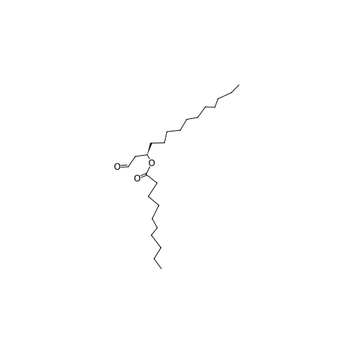 CCCCCCCCCCC[C@H](CC=O)OC(=O)CCCCCCCCC